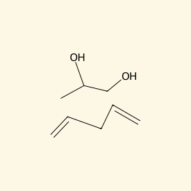 C=CCC=C.CC(O)CO